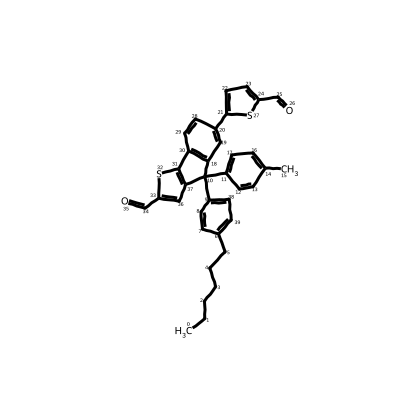 CCCCCCc1ccc(C2(c3ccc(C)cc3)c3cc(-c4ccc(C=O)s4)ccc3-c3sc(C=O)cc32)cc1